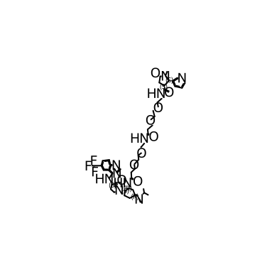 CC(C)N(C)[C@@H]1CC[C@H](N2CC[C@H](Nc3ncnc4ccc(C(F)(F)F)cc34)C2=O)[C@H](NC(=O)CCOCCOCCNC(=O)CCOCCOCCNC(=O)[C@H]2CC(=O)N(C)[C@@H]2c2cccnc2)C1